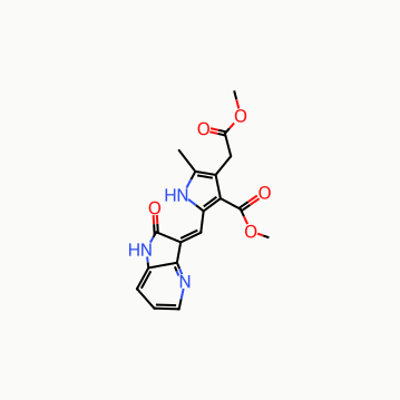 COC(=O)Cc1c(C)[nH]c(C=C2C(=O)Nc3cccnc32)c1C(=O)OC